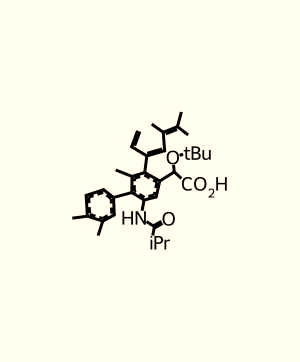 C=C/C(=C\C(C)=C(C)C)c1c(C(OC(C)(C)C)C(=O)O)cc(NC(=O)C(C)C)c(-c2ccc(C)c(C)c2)c1C